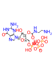 NCCNC(=O)O[C@H]1[C@@H](O)[C@H](n2cnc3c(=O)[nH]c(N)nc32)O[C@@H]1COP(=O)(O)OP(=O)(O)OP(=O)(O)O